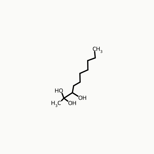 CCCCCCCC(O)C(C)(O)O